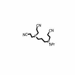 CCCP(CCC#N)CCCP(CCC#N)CCC#N